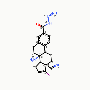 N=C[C@]12CCC3c4ccc(C(=O)NN=N)cc4CC[C@@]3(N)C1CC=C2I